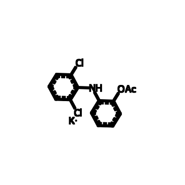 CC(=O)Oc1ccccc1Nc1c(Cl)cccc1Cl.[K]